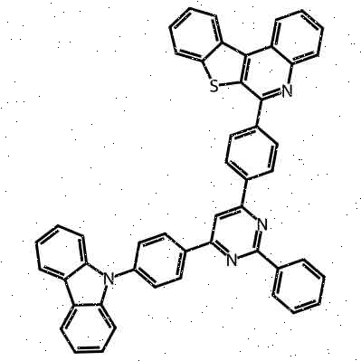 c1ccc(-c2nc(-c3ccc(-c4nc5ccccc5c5c4sc4ccccc45)cc3)cc(-c3ccc(-n4c5ccccc5c5ccccc54)cc3)n2)cc1